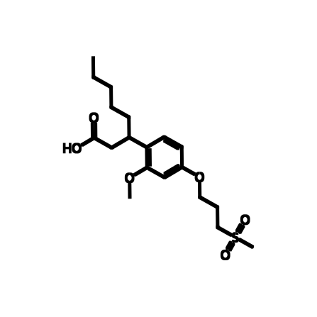 CCCCCC(CC(=O)O)c1ccc(OCCCS(C)(=O)=O)cc1OC